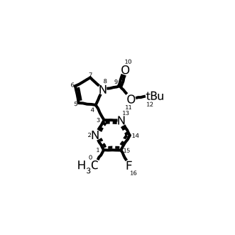 Cc1nc(C2C=CCN2C(=O)OC(C)(C)C)ncc1F